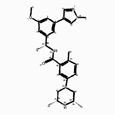 COc1cc(-c2cnn(C)c2)cc([C@@H](C)NC(=O)c2cc(N3C[C@@H](C)N[C@@H](C)C3)ccc2C)c1